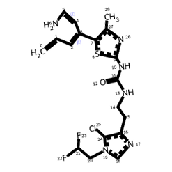 C=C/C=C(\C=C/N)c1sc(NC(=O)NCCc2ncn(CC(F)F)c2Cl)nc1C